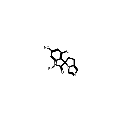 CCNC(=O)C1(c2ccc(C#N)cc2Cl)CCc2cncn21